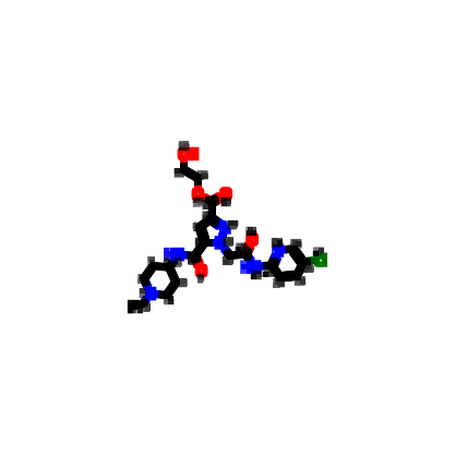 CC(C)N1CCC(NC(=O)c2cc(C(=O)OCCO)nn2CC(=O)Nc2ccc(Cl)cn2)CC1